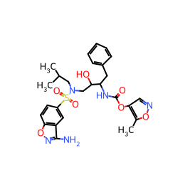 Cc1oncc1OC(=O)NC(Cc1ccccc1)C(O)CN(CC(C)C)S(=O)(=O)c1ccc2onc(N)c2c1